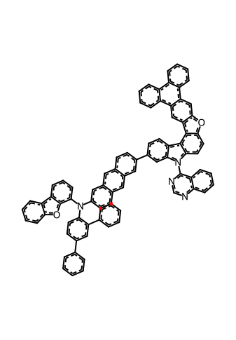 c1ccc(-c2ccc(N(c3ccc4cc5cc(-c6ccc7c8c9c(ccc8n(-c8ncnc%10ccccc8%10)c7c6)oc6cc7c8ccccc8c8ccccc8c7cc69)ccc5cc4c3)c3cccc4c3oc3ccccc34)c(-c3ccccc3)c2)cc1